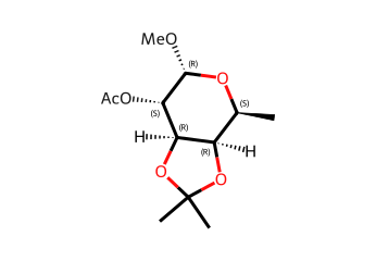 CO[C@@H]1O[C@@H](C)[C@H]2OC(C)(C)O[C@H]2[C@@H]1OC(C)=O